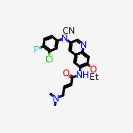 CCOc1cc2ncc(N(C#N)c3ccc(F)c(Cl)c3)cc2cc1NC(=O)C=CCN(C)C